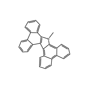 Cn1c2c3ccccc3c3ccccc3c2c2c3ccccc3c3ccccc3c21